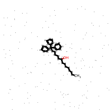 CCCCCCCCC(O)CCCCCC(c1ccccc1)(c1ccccc1)c1ccccc1